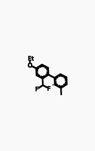 CCOc1ccc(-c2[c]c(C)ccc2)c(C(F)F)c1